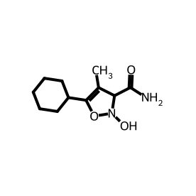 CC1=C(C2CCCCC2)ON(O)C1C(N)=O